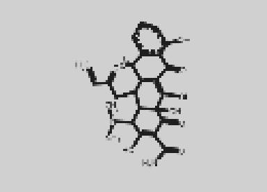 C=CC(=O)CC1C2C(=C(O)C3(O)C(=O)C(C(N)=O)=C(O)C(N(C)C)C13)C(=O)c1c(O)cccc1C2C